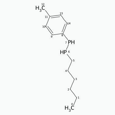 CCCCCCPPc1ccc(C)cc1